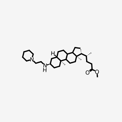 COC(=O)CC[C@@H](C)[C@H]1CCC2C3CC[C@H]4C[C@H](NCCN5CCCCC5)CC[C@]4(C)C3CC[C@@]21C